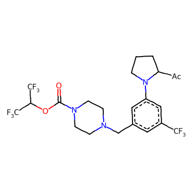 CC(=O)C1CCCN1c1cc(CN2CCN(C(=O)OC(C(F)(F)F)C(F)(F)F)CC2)cc(C(F)(F)F)c1